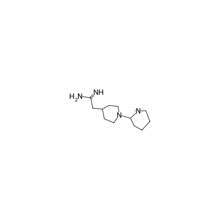 N=C(N)CC1CCN(C2CCCC[N]2)CC1